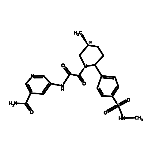 CNS(=O)(=O)c1ccc(C2CC[C@H](C)CN2C(=O)C(=O)Nc2cncc(C(N)=O)c2)cc1